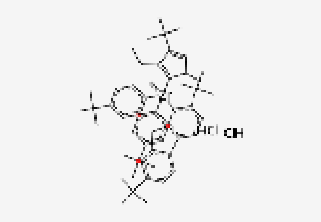 Cl.Cl.[CH2]=[Zr]([C]1=C(CC)C(C(C)(C)C)=CC1C)([c]1ccc(C(C)(C)C)cc1)([c]1ccc(C(C)(C)C)cc1)[c]1c(C(C)(C)C)ccc2c1Cc1cc(C(C)(C)C)ccc1-2